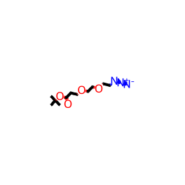 CC(C)(C)OC(=O)CCOCCOCCN=[N+]=[N-]